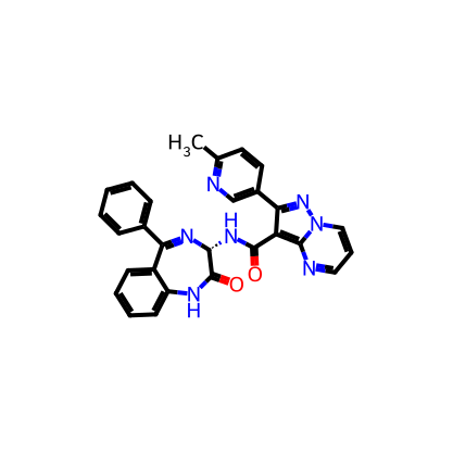 Cc1ccc(-c2nn3cccnc3c2C(=O)N[C@H]2N=C(c3ccccc3)c3ccccc3NC2=O)cn1